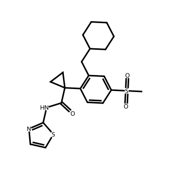 CS(=O)(=O)c1ccc(C2(C(=O)Nc3nccs3)CC2)c(CC2CCCCC2)c1